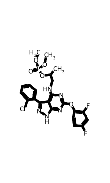 COP(=O)(OC)OC(C)CNc1nc(Oc2ccc(F)cc2F)nc2[nH]nc(-c3ccccc3Cl)c12